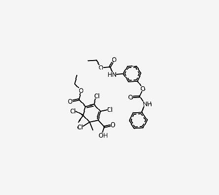 CCOC(=O)C1=C(Cl)C(Cl)=C(C(=O)O)C(C)(Cl)C1(C)Cl.CCOC(=O)Nc1cccc(OC(=O)Nc2ccccc2)c1